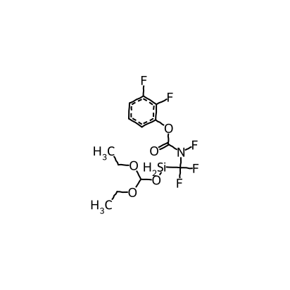 CCOC(OCC)O[SiH2]C(F)(F)N(F)C(=O)Oc1cccc(F)c1F